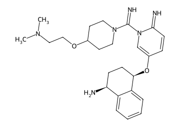 CN(C)CCOC1CCN(C(=N)n2cc(O[C@@H]3CC[C@H](N)c4ccccc43)ccc2=N)CC1